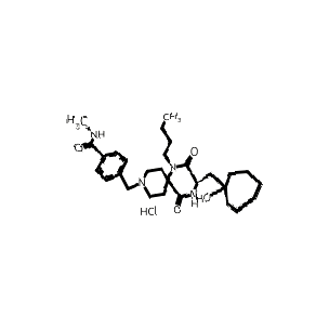 CCCCN1C(=O)[C@@H](CC2(O)CCCCCC2)NC(=O)C12CCN(Cc1ccc(C(=O)NC)cc1)CC2.Cl